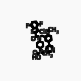 COc1ccc(-c2cncnc2)cc1CN(C(=O)c1sc2c(F)ccc(F)c2c1Cl)C1CCC(N(C)C(=O)O)CC1